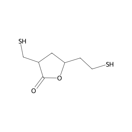 O=C1OC(CCS)CC1CS